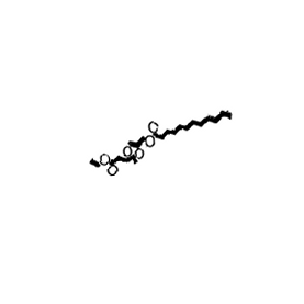 CCCCCCCCCCCC(=O)OCC1COC(C)(CCC(=O)OCC)O1